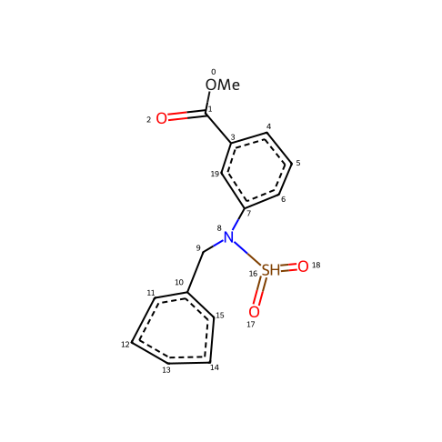 COC(=O)c1cccc(N(Cc2ccccc2)[SH](=O)=O)c1